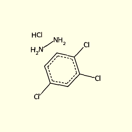 Cl.Clc1ccc(Cl)c(Cl)c1.NN